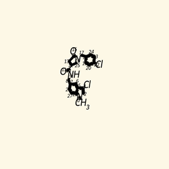 Cn1cc(Cl)c2cc(CNC(=O)[C@H]3CC(=O)N(Cc4ccc(Cl)cc4)C3)ccc21